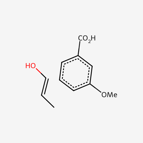 CC=CO.COc1cccc(C(=O)O)c1